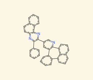 c1ccc(-c2nc3ccc4ccccc4c3nc2-c2cnc3c(c2)-c2ccccc2-c2cccc4cccc-3c24)cc1